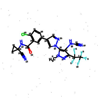 Cn1nc(C(F)(F)C(F)(F)F)c(NC#N)c1-n1cc(-c2ccc(Cl)c(C(=O)NC3(C#N)CC3)c2)cn1